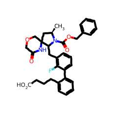 C[C@@H]1CC2(COCC(=O)N2)C(Cc2cccc(-c3ccccc3CCCC(=O)O)c2F)N1C(=O)OCc1ccccc1